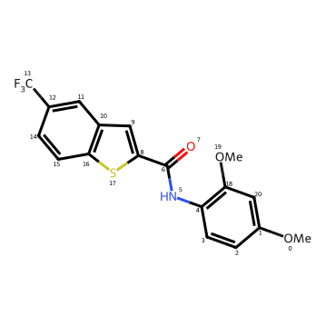 COc1ccc(NC(=O)c2cc3cc(C(F)(F)F)ccc3s2)c(OC)c1